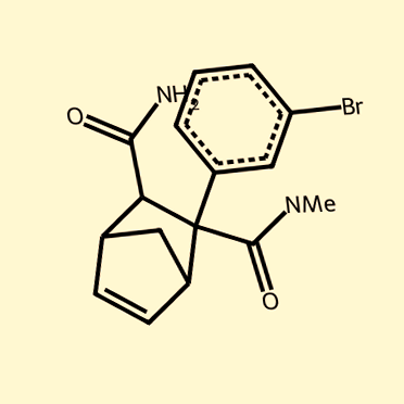 CNC(=O)C1(c2cccc(Br)c2)C2C=CC(C2)C1C(N)=O